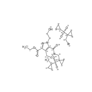 CCOC(=O)c1nn(CCO)c2c1CCN(CC1(S(=O)(=O)C3(C)CC3)CC1)C2=O.O=S(=O)(C1CC1)C1(CBr)CC1